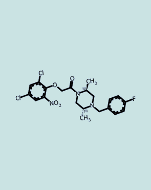 C[C@@H]1CN(C(=O)COc2c(Cl)cc(Cl)cc2[N+](=O)[O-])[C@@H](C)CN1Cc1ccc(F)cc1